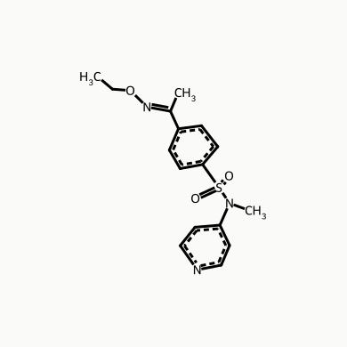 CCON=C(C)c1ccc(S(=O)(=O)N(C)c2ccncc2)cc1